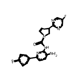 Nc1ccc(-c2ccc(F)cc2)nc1NC(=O)N1CCC(c2ncc(F)cn2)C1